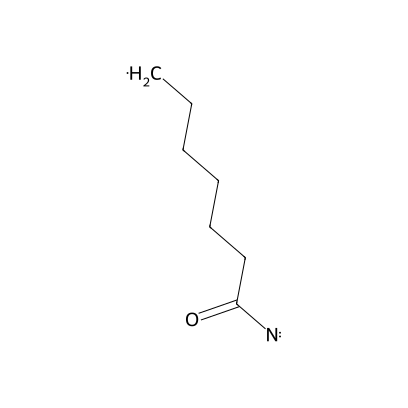 [CH2]CCCCCC([N])=O